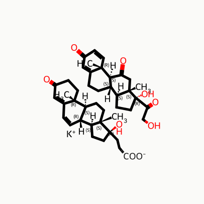 C[C@]12C=CC(=O)C=C1CC[C@@H]1[C@@H]2C(=O)C[C@@]2(C)[C@H]1CC[C@]2(O)C(=O)CO.C[C@]12CCC(=O)C=C1C=C[C@@H]1[C@@H]2CC[C@@]2(C)[C@H]1CC[C@@]2(O)CCC(=O)[O-].[K+]